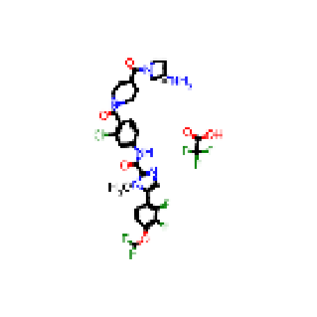 Cn1c(-c2ccc(OC(F)F)c(F)c2F)cnc1C(=O)Nc1ccc(C(=O)N2CCC(C(=O)N3CC[C@@H](N)C3)CC2)c(Cl)c1.O=C(O)C(F)(F)F